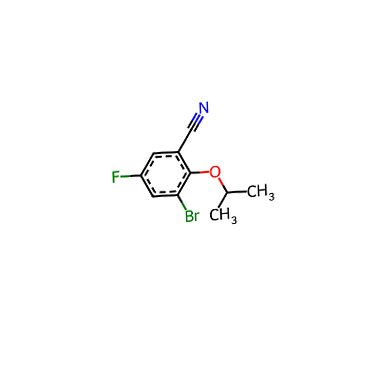 CC(C)Oc1c(Br)cc(F)cc1C#N